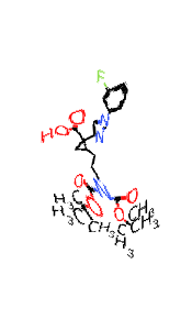 CC(C)(C)OC(=O)N(CCCC1CC1(C(=O)O)c1cn(-c2cccc(F)c2)cn1)C(=O)OC(C)(C)C